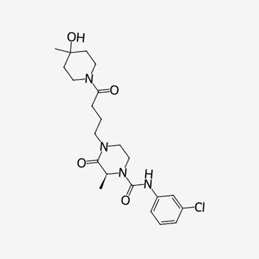 C[C@H]1C(=O)N(CCCC(=O)N2CCC(C)(O)CC2)CCN1C(=O)Nc1cccc(Cl)c1